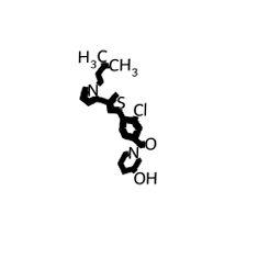 CC(C)CCn1cccc1-c1csc(-c2ccc(C(=O)N3CCCC(O)C3)cc2Cl)c1